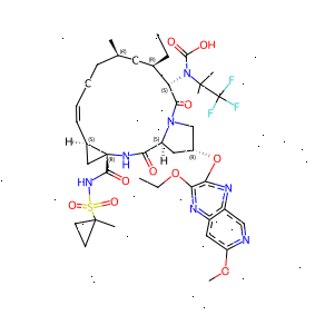 CCOc1nc2cc(OC)ncc2nc1O[C@@H]1C[C@H]2C(=O)N[C@]3(C(=O)NS(=O)(=O)C4(C)CC4)C[C@H]3C=CCC[C@@H](C)C[C@@H](CC)[C@H](N(C(=O)O)C(C)(C)C(F)(F)F)C(=O)N2C1